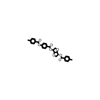 Cc1ccc(C(=O)Oc2ccc(C(=O)OC3COC4C3OC[C@H]4OC(=O)c3ccc(C)cc3)cc2)cc1